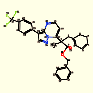 CC(CC1=CC=CCC1)(C(=O)OCc1ccccc1)c1ccnc2c(-c3ccc(C(F)(F)F)cc3)cnn12